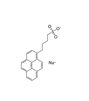 O=S(=O)([O-])CCCCc1ccc2ccc3cccc4ccc1c2c34.[Na+]